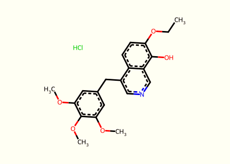 CCOc1ccc2c(Cc3cc(OC)c(OC)c(OC)c3)cncc2c1O.Cl